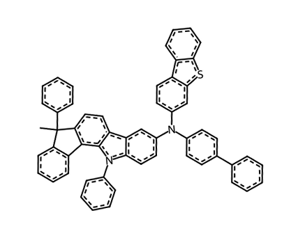 CC1(c2ccccc2)c2ccccc2-c2c1ccc1c3cc(N(c4ccc(-c5ccccc5)cc4)c4ccc5c(c4)sc4ccccc45)ccc3n(-c3ccccc3)c21